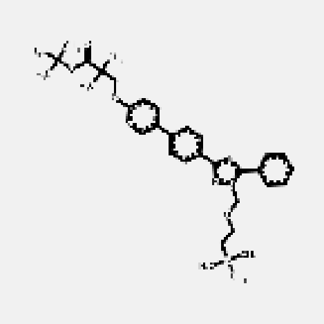 CC(C)(C)OC(=O)C(C)(C)COc1ccc(-c2ccc(-c3nc(-c4ccccc4)n(COCC[Si](C)(C)C)n3)cc2)cn1